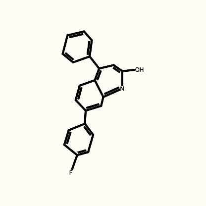 Oc1cc(-c2ccccc2)c2ccc(-c3ccc(F)cc3)cc2n1